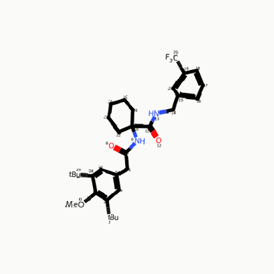 COc1c(C(C)(C)C)cc(CC(=O)NC2(C(=O)NCc3cccc(C(F)(F)F)c3)CCCCC2)cc1C(C)(C)C